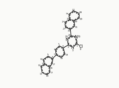 Clc1nc(-c2ccc(-c3ccc4ccccc4c3)cc2)nc(-c2ccc3ccccc3c2)n1